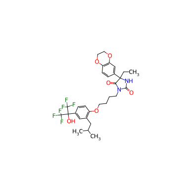 CCC1(c2ccc3c(c2)OCCO3)NC(=O)N(CCCCOc2ccc(C(O)(C(F)(F)F)C(F)(F)F)cc2CC(C)C)C1=O